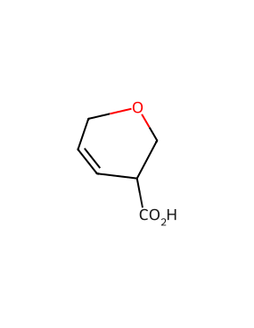 O=C(O)C1C=CCOC1